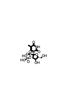 Cc1cn([C@@]2(P(=O)(O)OP(=O)(O)O)C[C@H](O)[C@@H](CO)O2)c(=O)[nH]c1=O